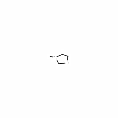 CN1[CH]OCC1